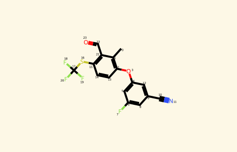 Cc1c(Oc2cc(F)cc(C#N)c2)ccc(SC(F)(F)F)c1C=O